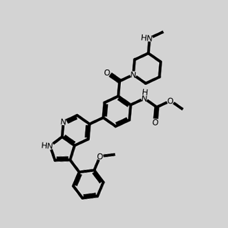 CNC1CCCN(C(=O)c2cc(-c3cnc4[nH]cc(-c5ccccc5OC)c4c3)ccc2NC(=O)OC)C1